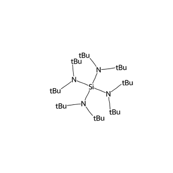 CC(C)(C)N(C(C)(C)C)[Si](N(C(C)(C)C)C(C)(C)C)(N(C(C)(C)C)C(C)(C)C)N(C(C)(C)C)C(C)(C)C